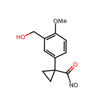 COc1ccc(C2(C(=O)N=O)CC2)cc1CO